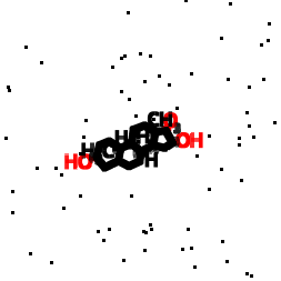 C[C@]12CC[C@H](O)CC1CC[C@@H]1[C@@H]2CC[C@]2(C)C(=O)[C@@H](O)C[C@@H]12